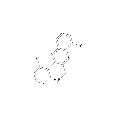 BCc1nc2c(Cl)cccc2nc1-c1ccccc1Cl